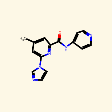 Cc1cc(C(=O)Nc2ccncc2)nc(-n2ccnc2)c1